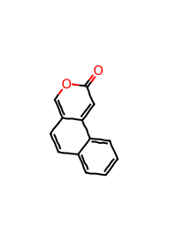 O=c1cc2c(ccc3ccccc32)co1